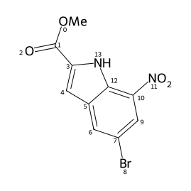 COC(=O)c1cc2cc(Br)cc([N+](=O)[O-])c2[nH]1